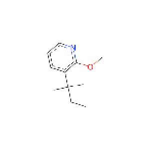 CCC(C)(C)c1cccnc1OC